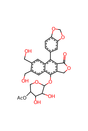 CC(=O)OC1COC(Oc2c3c(c(-c4ccc5c(c4)OCO5)c4cc(CO)c(CO)cc24)C(=O)OC3)C(O)C1O